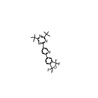 CC(C)(C)c1nc(-c2ccc(-c3ccc4c(c3)C(F)(F)OC4(F)F)nc2)nc(C(C)(C)C)n1